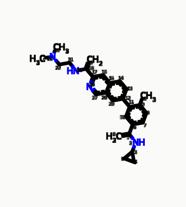 C=C(NC1CC1)c1ccc(C)c(-c2ccc3cc(C(=C)NCCN(C)C)ncc3c2)c1